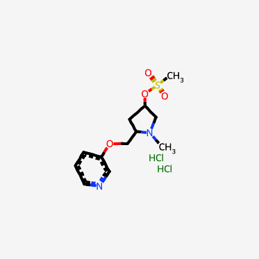 CN1CC(OS(C)(=O)=O)CC1COc1cccnc1.Cl.Cl